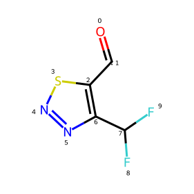 O=[C]c1snnc1C(F)F